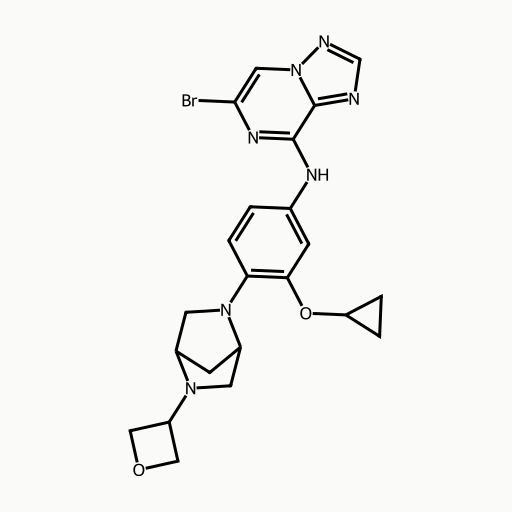 Brc1cn2ncnc2c(Nc2ccc(N3CC4CC3CN4C3COC3)c(OC3CC3)c2)n1